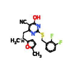 Cc1ccc([C@H](C)Cc2nc(SCc3cccc(F)c3F)nc(O)c2C#N)o1